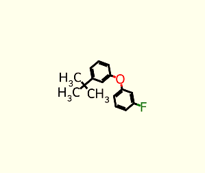 CC(C)(C)c1cccc(Oc2cccc(F)c2)c1